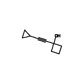 OC1(C#CC2CC2)CCC1